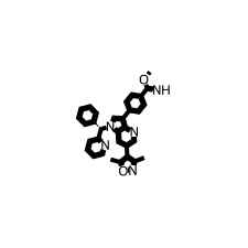 COC(=N)c1ccc(-c2cn([C@@H](c3ccccc3)c3ccccn3)c3cc(-c4c(C)noc4C)cnc23)cc1